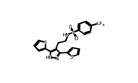 O=S(=O)(NCCc1c(-c2cccs2)n[nH]c1-c1cccs1)c1ccc(C(F)(F)F)cc1